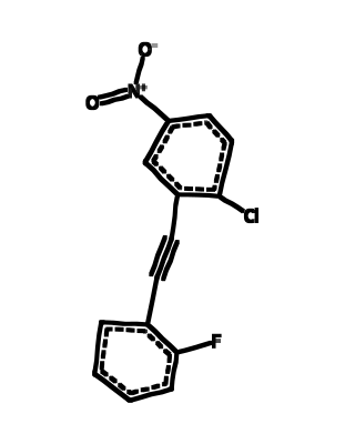 O=[N+]([O-])c1ccc(Cl)c(C#Cc2ccccc2F)c1